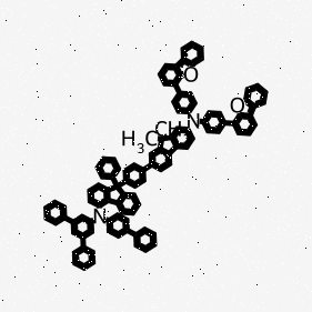 CC1(C)c2cc(-c3ccc(C4(c5ccccc5)c5ccccc5-c5c(N(c6ccc(-c7ccccc7)cc6)c6cc(-c7ccccc7)cc(-c7ccccc7)c6)cccc54)cc3)ccc2-c2ccc(N(c3ccc(-c4cccc5c4oc4ccccc45)cc3)c3ccc(-c4cccc5c4oc4ccccc45)cc3)cc21